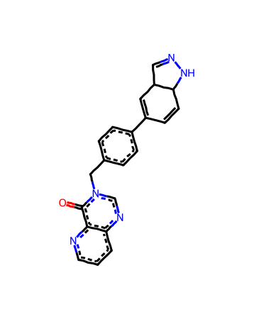 O=c1c2ncccc2ncn1Cc1ccc(C2=CC3C=NNC3C=C2)cc1